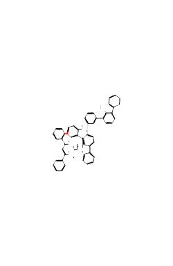 C1=Cc2oc3c(-c4cccc(-n5c6ccccc6c6c7c(ccc65)c5ccccc5n7C5=NC(c6ccccc6)=CC(c6ccccc6)N5)c4)cccc3c2CC1